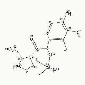 Cc1c(C(O[Si](C)(C)C(C)(C)C)C(=O)C2CCNC2C(=O)O)ccc(C#N)c1Cl